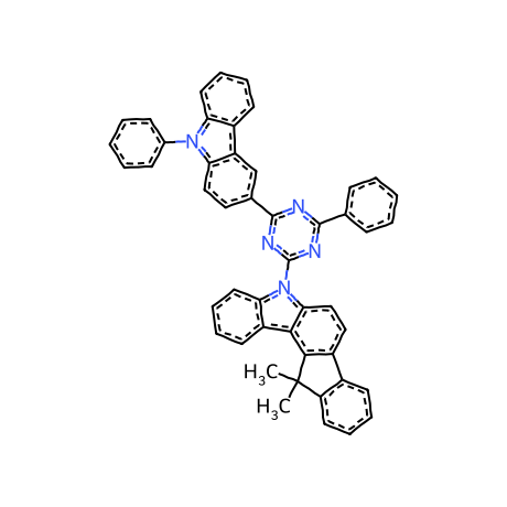 CC1(C)c2ccccc2-c2ccc3c(c21)c1ccccc1n3-c1nc(-c2ccccc2)nc(-c2ccc3c(c2)c2ccccc2n3-c2ccccc2)n1